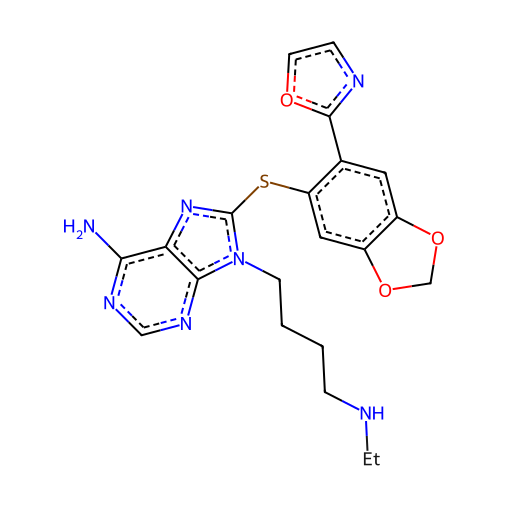 CCNCCCCn1c(Sc2cc3c(cc2-c2ncco2)OCO3)nc2c(N)ncnc21